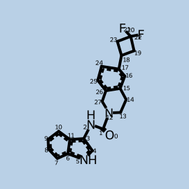 O=C(Nc1c[nH]c2ccccc12)N1CCc2cc(C3CC(F)(F)C3)ccc2C1